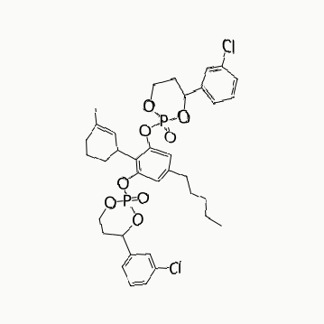 CCCCCc1cc(OP2(=O)OCCC(c3cccc(Cl)c3)O2)c(C2C=C(C)CCC2)c(OP2(=O)OCCC(c3cccc(Cl)c3)O2)c1